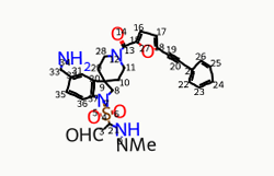 CNNC(C=O)S(=O)(=O)N1CC2(CCN(C(=O)c3ccc(C#Cc4ccccc4)o3)CC2)c2cc(CN)ccc21